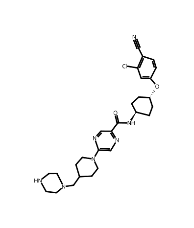 N#Cc1ccc(O[C@H]2CC[C@H](NC(=O)c3cnc(N4CCC(CN5CCNCC5)CC4)cn3)CC2)cc1Cl